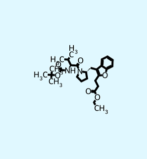 CCOC(=O)CCc1oc2ccccc2c1C[C@@H]1CCCN1C(=O)[C@@H](NC(=O)OC(C)(C)C)C(C)C